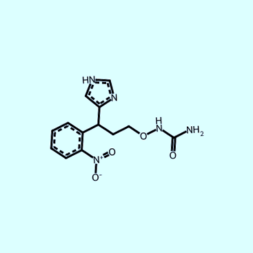 NC(=O)NOCCC(c1c[nH]cn1)c1ccccc1[N+](=O)[O-]